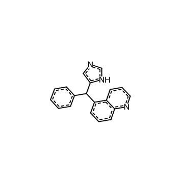 c1ccc(C(c2cnc[nH]2)c2cccc3ncccc23)cc1